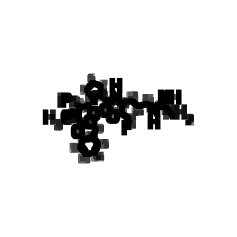 CC(C)[C@@H](C(=O)N1CCC[C@H]1C(=O)N[C@@H](CCCNC(=N)N)C(=O)CF)N(C)C(=O)OCc1ccccc1